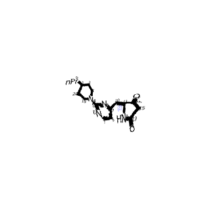 CCCC1CCN(c2nccc(/C=C3\NC(=O)CC3=O)n2)CC1